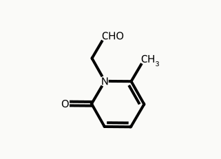 Cc1cccc(=O)n1CC=O